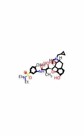 CCN(CC)S(=O)(=O)c1ccc(OC)c(NC(=O)/C(C)=C(\O)[C@@H]2Oc3c(O)ccc4c3[C@@]23CCN(CC2CC2)[C@H](C4)[C@@]3(C)O)c1